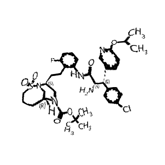 CC(C)Oc1ccc([C@H](c2ccc(Cl)cc2)[C@H](N)C(=O)Nc2cccc(F)c2CC[C@H]2CN(C(=O)OC(C)(C)C)[C@@H]3CCCS(=O)(=O)N2C3)cn1